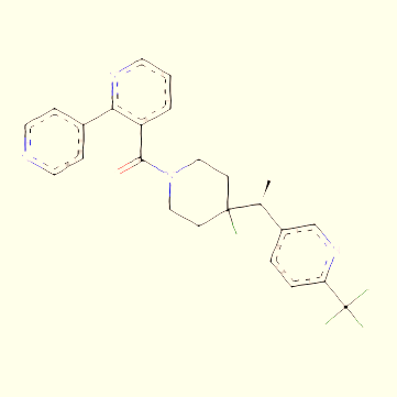 C[C@@H](c1ccc(C(F)(F)F)nc1)C1(F)CCN(C(=O)c2cccnc2-c2ccncc2)CC1